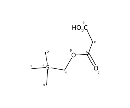 C[Si](C)(C)COC(=O)CC(=O)O